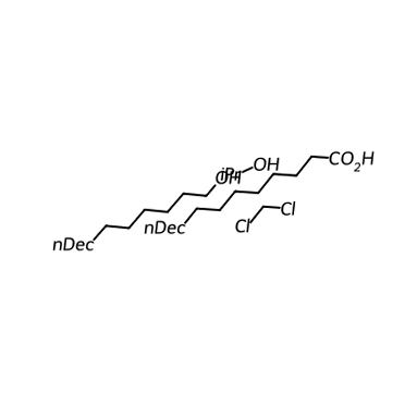 CC(C)O.CCCCCCCCCCCCCCCCCC(=O)O.CCCCCCCCCCCCCCCCO.ClCCl